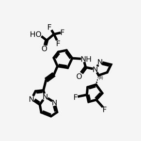 O=C(Nc1cccc(C#Cc2cnc3cccnn23)c1)N1N=CC[C@@H]1c1cc(F)cc(F)c1.O=C(O)C(F)(F)F